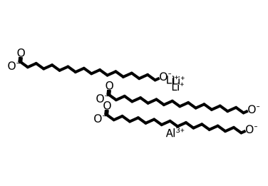 O=C([O-])CCCCCCCCCCCCCCCCC[O-].O=C([O-])CCCCCCCCCCCCCCCCC[O-].O=C([O-])CCCCCCCCCCCCCCCCC[O-].[Al+3].[Li+].[Li+].[Li+]